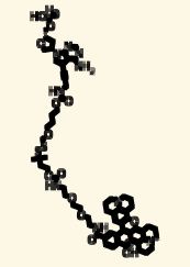 CC(C)(CCOC(=O)NCCOCCOCCNC(=O)c1ccc(C(=O)O)c(C2=c3cc4c5c(c3Oc3c2cc2c6c3CCCN6CCC2)CCC[N+]=5CCC4)c1)SSCOCCCCOC(=O)NCC#Cc1cn([C@@H]2CO[C@H](CO[PH](=O)O)C2)c2ncnc(N)c12